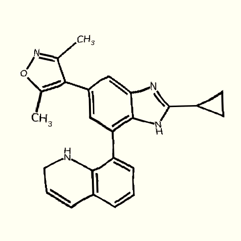 Cc1noc(C)c1-c1cc(-c2cccc3c2NCC=C3)c2[nH]c(C3CC3)nc2c1